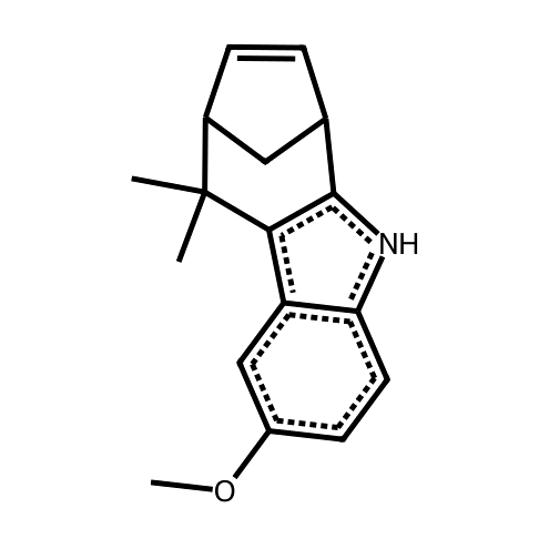 COc1ccc2[nH]c3c(c2c1)C(C)(C)C1C=CC3C1